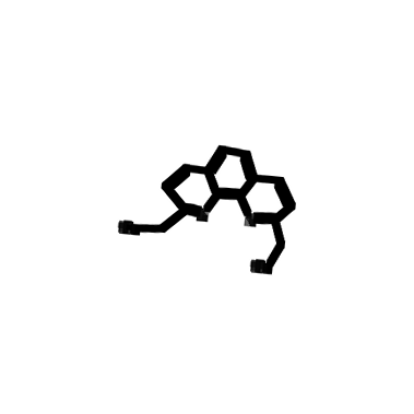 CC(C)(C)Cc1ccc2ccc3ccc(CC(C)(C)C)nc3c2n1